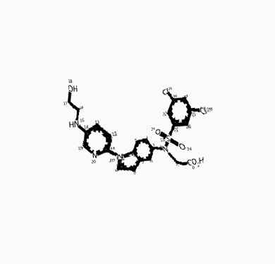 O=C(O)CN(c1ccc2c(ccn2-c2ccc(NCCO)cn2)c1)S(=O)(=O)c1cc(Cl)cc(Cl)c1